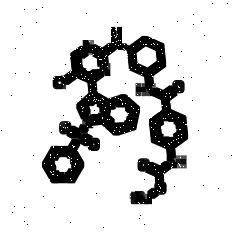 CC(C)(C)OC(=O)Nc1ccc(C(=O)NC2CCC[C@@H](Nc3ncc(Cl)c(-c4cn(S(=O)(=O)c5ccccc5)c5ccccc45)n3)C2)cc1